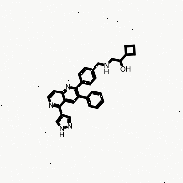 OC(CNCc1ccc(-c2nc3ccnc(-c4cn[nH]c4)c3cc2-c2ccccc2)cc1)C1CCC1